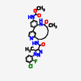 COC(=O)Nc1ccc2c(c1)NC(=O)[C@H](C)CCCC[C@H](NC(=O)c1nnn(-c3cccc(Cl)c3F)c1C)c1cc-2ccn1